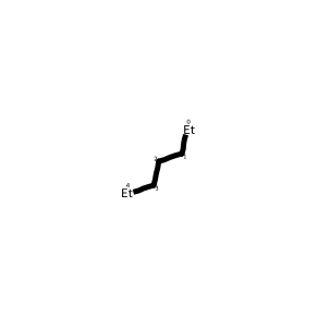 CC[CH]CCCC